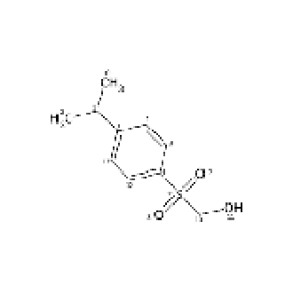 CC(C)c1ccc(S(=O)(=O)CO)cc1